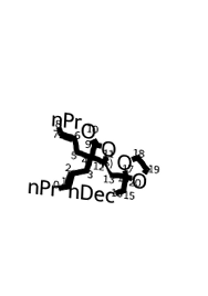 CCCC=CCC1(CC=CCCC)C(=O)O[C@H]1CC1(CCCCCCCCCCC)OCCO1